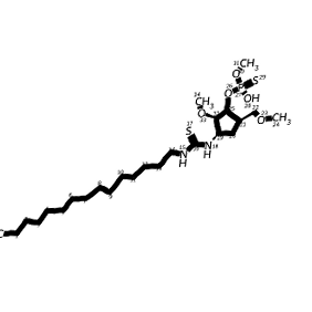 CCCCCCCCCCCCCCCNC(=S)N[C@H]1C[C@H](COC)C(OP(O)(=S)OC)[C@@H]1OC